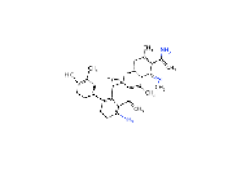 C=C(N)C1=C(C)CC2CC3(C)CC4=C(C5=CC(C)=C(C)CC5)CCC(N)=C4C(=C)C3=C(C)C2/C1=N\C